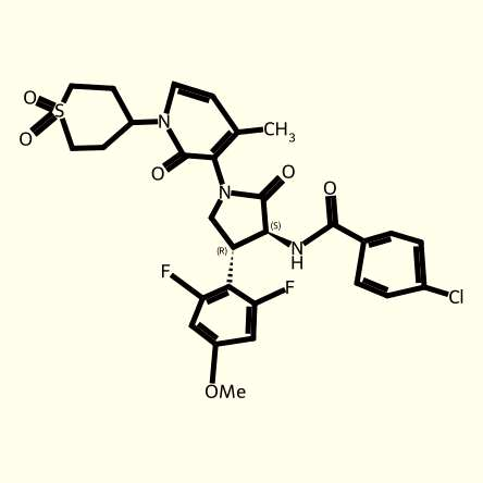 COc1cc(F)c([C@@H]2CN(c3c(C)ccn(C4CCS(=O)(=O)CC4)c3=O)C(=O)[C@H]2NC(=O)c2ccc(Cl)cc2)c(F)c1